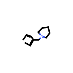 C/C=C\C(=C/C)CN1CCCCC1